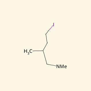 CNCC(C)CCI